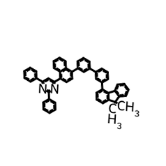 CC1(C)c2ccccc2-c2c(-c3cccc(-c4cccc(-c5ccc(-c6cc(-c7ccccc7)nc(-c7ccccc7)n6)c6ccccc56)c4)c3)cccc21